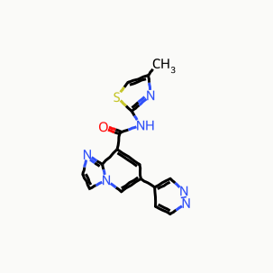 Cc1csc(NC(=O)c2cc(-c3ccnnc3)cn3ccnc23)n1